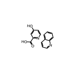 O=C(O)c1cc(O)ccn1.c1ccc2ncccc2c1